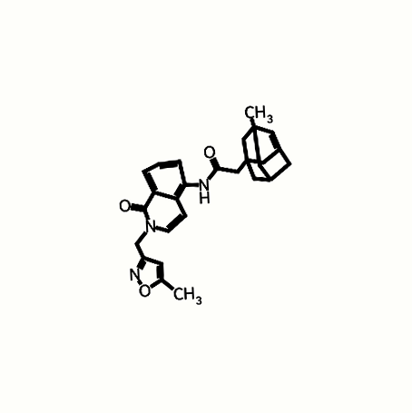 Cc1cc(Cn2ccc3c(NC(=O)CC45CC6=CC(C)(CC(C6)C4)C5)cccc3c2=O)no1